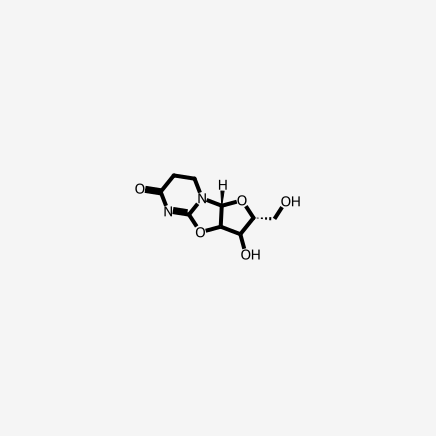 O=C1CCN2C(=N1)OC1C(O)[C@@H](CO)O[C@H]12